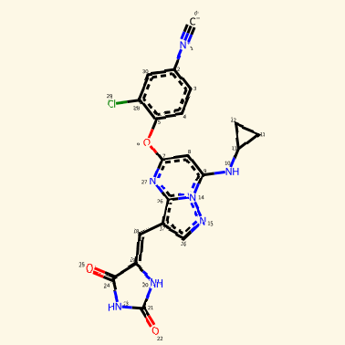 [C-]#[N+]c1ccc(Oc2cc(NC3CC3)n3ncc(/C=C4\NC(=O)NC4=O)c3n2)c(Cl)c1